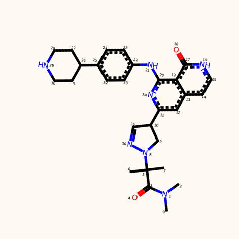 CN(C)C(=O)C(C)(C)N1CC(c2cc3cc[nH]c(=O)c3c(Nc3ccc(C4CCNCC4)cc3)n2)C=N1